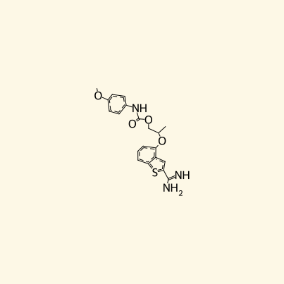 COc1ccc(NC(=O)OCC(C)Oc2cccc3sc(C(=N)N)cc23)cc1